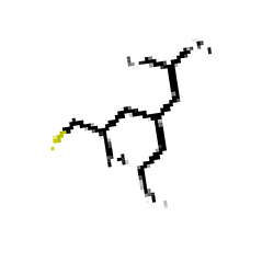 CCCC(CC(C)C)CC(C)CS